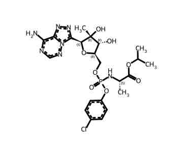 CC(C)OC(=O)[C@H](C)NP(=O)(OC[C@H]1O[C@@H](c2nnc3c(N)ncnn23)[C@](C)(O)[C@@H]1O)Oc1ccc(Cl)cc1